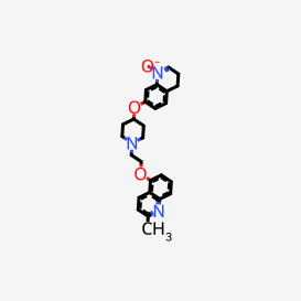 Cc1ccc2c(OCCN3CCC(Oc4ccc5c(c4)[N+]([O-])=CCC5)CC3)cccc2n1